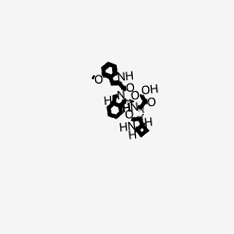 COc1cccc2[nH]c(C(=O)N3C[C@@H]4CCCC[C@@H]4[C@H]3C(=O)N[C@@H](C[C@H]3C(=O)N[C@@H]4CC[C@@H]43)C(=O)CO)cc12